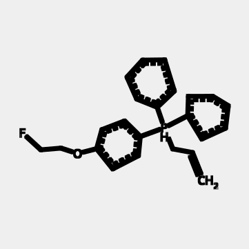 C=CC[PH](c1ccccc1)(c1ccccc1)c1ccc(OCCF)cc1